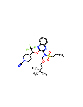 CCCS(=O)(=O)N(COCC[Si](C)(C)C)c1nc2ccccc2nc1OC(C1CCN(C#N)CC1)C(F)(F)F